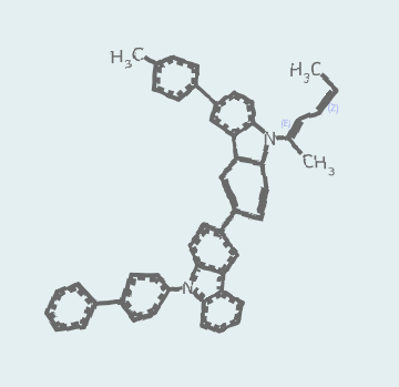 C/C=C\C=C(/C)N1c2ccc(-c3ccc(C)cc3)cc2C2C=C(c3ccc4c(c3)c3ccccc3n4-c3ccc(-c4ccccc4)cc3)C=CC21